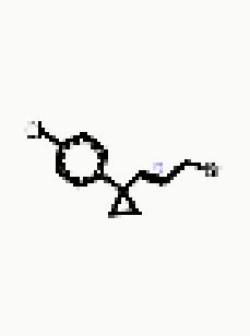 Clc1ccc(C2(/C=C/CBr)CC2)cc1